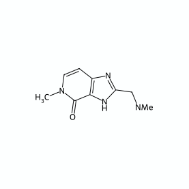 CNCc1nc2ccn(C)c(=O)c2[nH]1